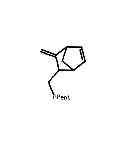 C=C1C2C=CC(C2)C1CCCCCC